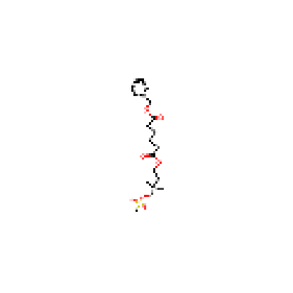 CC(C)(CCOC(=O)CCCCC(=O)OCc1ccccc1)COS(C)(=O)=O